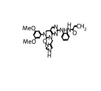 C=CC(=O)Nc1ccccc1Nc1ncc2c(n1)N(Cc1c[nH]cn1)C(=O)N(c1cc(OC)cc(OC)c1)C2